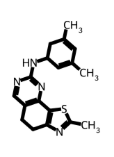 CC1=CC(Nc2ncc3c(n2)-c2sc(C)nc2CC3)CC(C)=C1